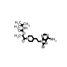 C[C@H](OC(=O)NC(C)(C)C)C(=O)N1CCC(CCn2c(Br)nc3c(N)ncnc32)CC1